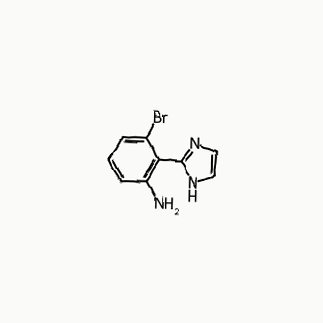 Nc1cccc(Br)c1-c1ncc[nH]1